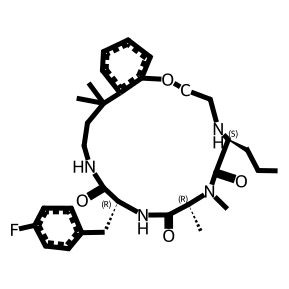 CCC[C@@H]1NCCOc2ccccc2C(C)(C)CCNC(=O)[C@@H](Cc2ccc(F)cc2)NC(=O)[C@@H](C)N(C)C1=O